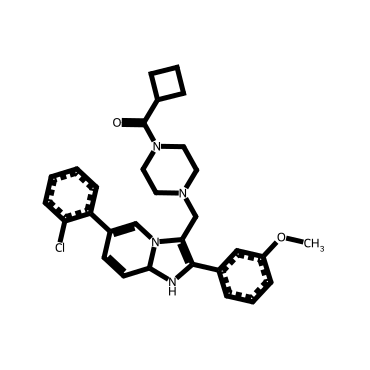 COc1cccc(C2=C(CN3CCN(C(=O)C4CCC4)CC3)N3C=C(c4ccccc4Cl)C=CC3N2)c1